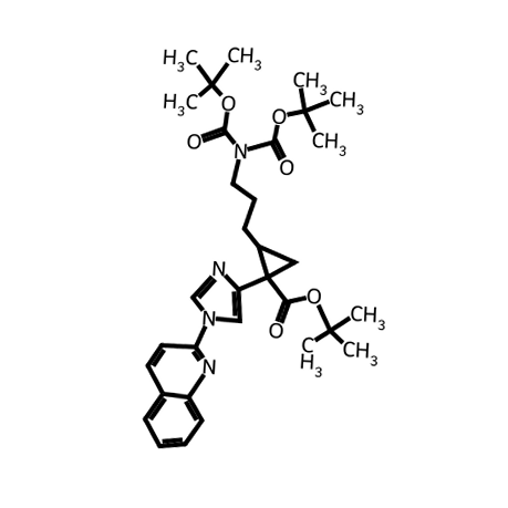 CC(C)(C)OC(=O)N(CCCC1CC1(C(=O)OC(C)(C)C)c1cn(-c2ccc3ccccc3n2)cn1)C(=O)OC(C)(C)C